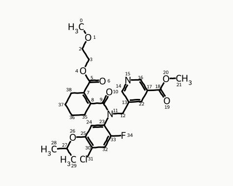 COCCOC(=O)C1=C(C(=O)N(Cc2cncc(C(=O)OC)c2)c2cc(OC(C)C)c(Cl)cc2F)CCCC1